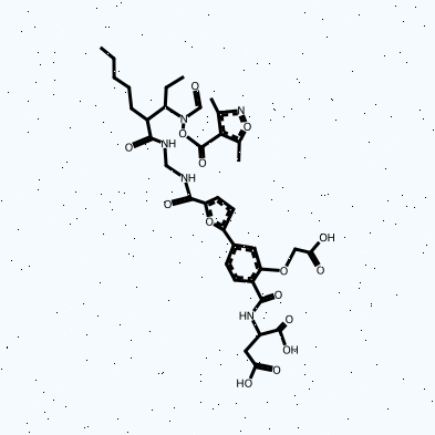 CCCCCC(C(=O)NCNC(=O)c1ccc(-c2ccc(C(=O)NC(CC(=O)O)C(=O)O)c(OCC(=O)O)c2)o1)C(CC)N(C=O)OC(=O)c1c(C)noc1C